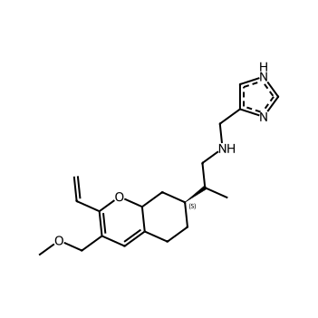 C=CC1=C(COC)C=C2CC[C@H](C(C)CNCc3c[nH]cn3)CC2O1